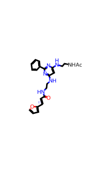 CC(=O)NCCNc1cc(NCCNC(=O)/C=C/c2ccco2)nc(-c2ccccc2)n1